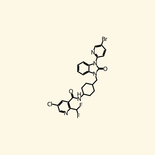 O=C(NC1CCC(Cn2c(=O)n(-c3ccc(Br)cn3)c3ccccc32)CC1)c1cc(Cl)cnc1C(F)F